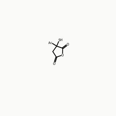 CC(=O)C1(S)CC(=O)OC1=O